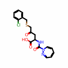 O=C(CSCc1ccccc1Cl)CC(NC(=O)N1C=CC=CC=N1)C(=O)O